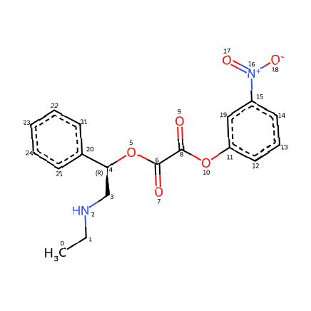 CCNC[C@H](OC(=O)C(=O)Oc1cccc([N+](=O)[O-])c1)c1ccccc1